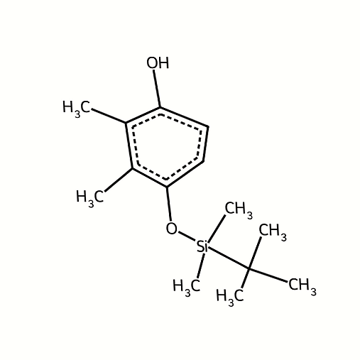 Cc1c(O)ccc(O[Si](C)(C)C(C)(C)C)c1C